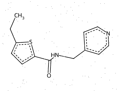 CCc1ccc(C(=O)NCc2ccncc2)s1